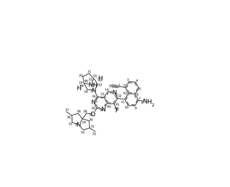 C#Cc1cccc2c(N)ccc(-c3ncc4c(N5C[C@H]6CC[C@@H](C5)N6)nc(OCC56CC(C)CN5CC(C)C6)nc4c3F)c12